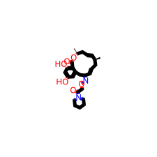 C[C@@H]1/C=C/C[C@@H](C)OC(=O)c2c(O)cc(O)cc2CC(=N\OCC(=O)N2CCCCC2)/C=C/C1